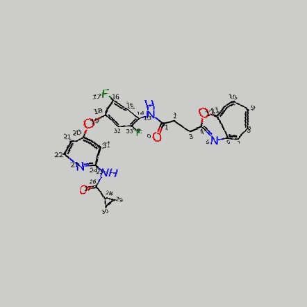 O=C(CCc1nc2ccccc2o1)Nc1cc(F)c(Oc2ccnc(NC(=O)C3CC3)c2)cc1F